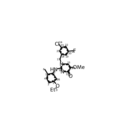 CCOc1ccc(C)c(Nc2nc(=O)c(OC)cn2Cc2cc(F)cc(Cl)c2)c1